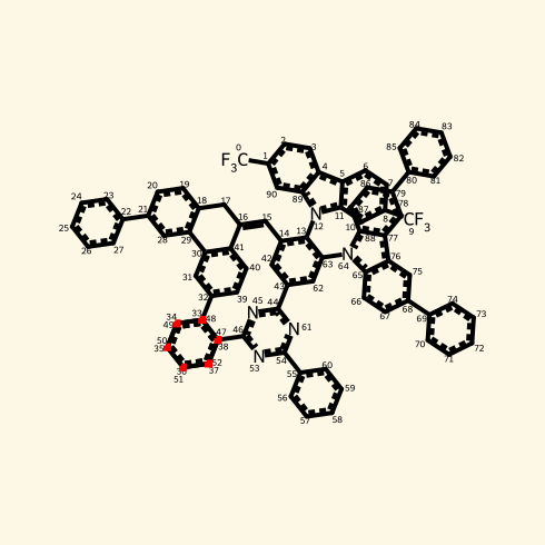 FC(F)(F)c1ccc2c3ccc(C(F)(F)F)cc3n(-c3c(/C=C4/Cc5ccc(-c6ccccc6)cc5-c5cc(-c6ccccc6)ccc54)cc(-c4nc(-c5ccccc5)nc(-c5ccccc5)n4)cc3-n3c4ccc(-c5ccccc5)cc4c4cc(-c5ccccc5)ccc43)c2c1